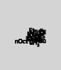 CCCCCCCCc1cc(N=C(CC)C(C)=Cc2cc(CCCC)c(CC)c(-c3ccccc3)c2)cc(CCCC)c1C